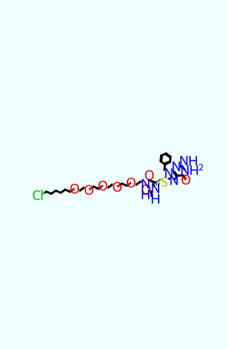 CC(=O)N[C@@H](CSc1nc2c(=O)[nH]c(N)nc2n1Cc1ccccc1)C(=O)NCCOCCOCCOCCOCCOCCCCCCCl